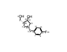 OC[C@H]1SN(Sc2ccc(F)cc2)C[C@@H]1O